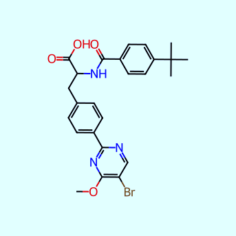 COc1nc(-c2ccc(CC(NC(=O)c3ccc(C(C)(C)C)cc3)C(=O)O)cc2)ncc1Br